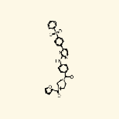 O=C(c1ccc(Nc2nccc(-c3ccc(S(=O)(=O)c4ccccc4)cc3)n2)cc1)N1CCN(C(=O)c2ccco2)CC1